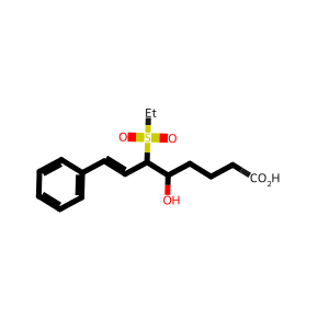 CCS(=O)(=O)C(C=Cc1ccccc1)C(O)CCCC(=O)O